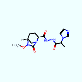 CC(C(=O)NNC(=O)[C@@H]1CC[C@@H]2CN1C(=O)N2OS(=O)(=O)O)n1ccnc1